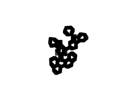 c1ccc(-n2c3ccccc3c3ccc(-c4nc(N5c6c(ccc7ccccc67)-c6cccc7cccc5c67)nc5c4sc4ccccc45)cc32)cc1